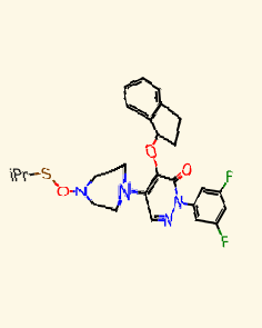 CC(C)SON1CCN(c2cnn(-c3cc(F)cc(F)c3)c(=O)c2OC2CCc3ccccc32)CC1